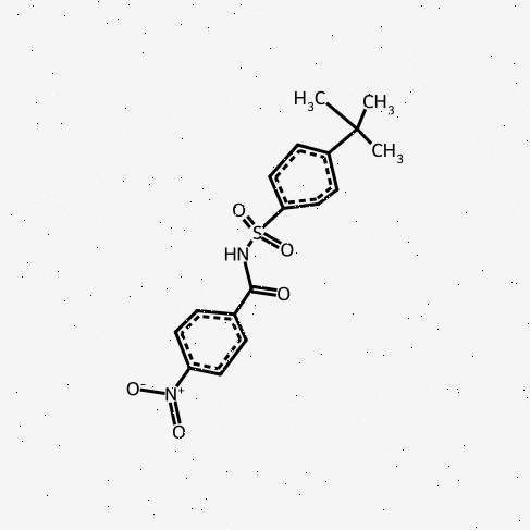 CC(C)(C)c1ccc(S(=O)(=O)NC(=O)c2ccc([N+](=O)[O-])cc2)cc1